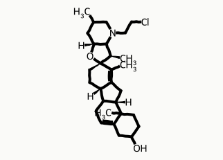 CC1=C2C[C@H]3C(CC=C4CC(O)CCC43C)[C@@H]2CC[C@]12O[C@@H]1CC(C)CN(CCCl)C1[C@H]2C